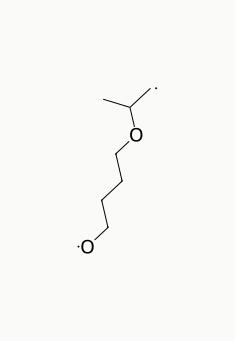 [CH2]C(C)OCCCC[O]